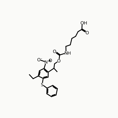 CCc1cc([N+](=O)[O-])c(C(C)COC(=O)NCCCCCC(=O)O)cc1Sc1ccccc1